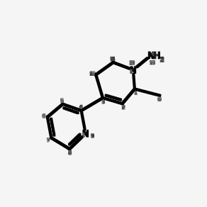 CC1C=C(c2ccccn2)CCN1N